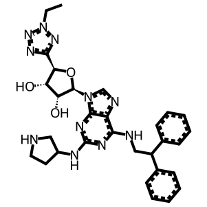 CCn1nnc([C@H]2O[C@@H](n3cnc4c(NCC(c5ccccc5)c5ccccc5)nc(NC5CCNC5)nc43)[C@H](O)[C@@H]2O)n1